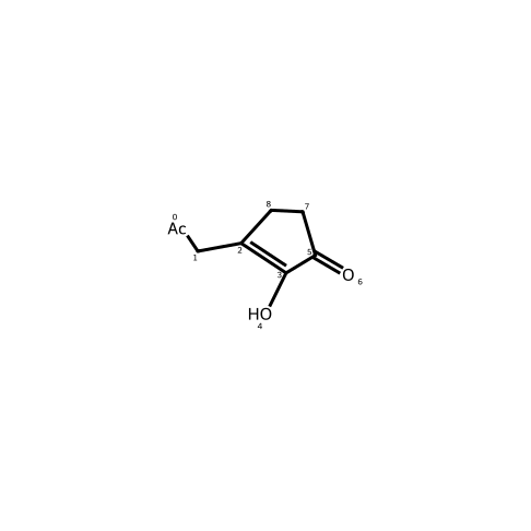 CC(=O)CC1=C(O)C(=O)CC1